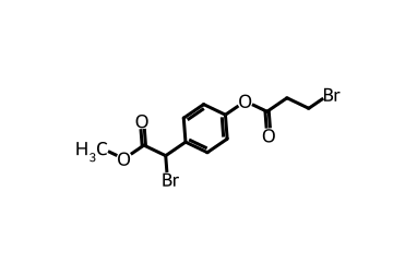 COC(=O)C(Br)c1ccc(OC(=O)CCBr)cc1